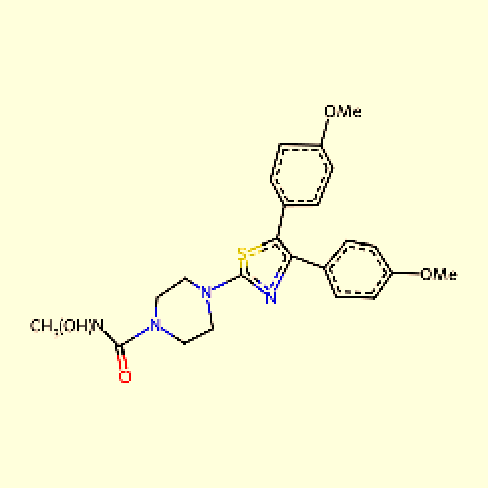 COc1ccc(-c2nc(N3CCN(C(=O)N(C)O)CC3)sc2-c2ccc(OC)cc2)cc1